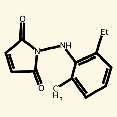 CCc1c[c]cc(C)c1NN1C(=O)C=CC1=O